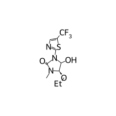 CCO[C@@H]1C(O)N(c2ncc(C(F)(F)F)s2)C(=O)N1C